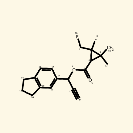 C#CC(OC(=O)C1C(F)(CF)C1(C)C(F)(F)F)c1ccc2c(c1)CCC2